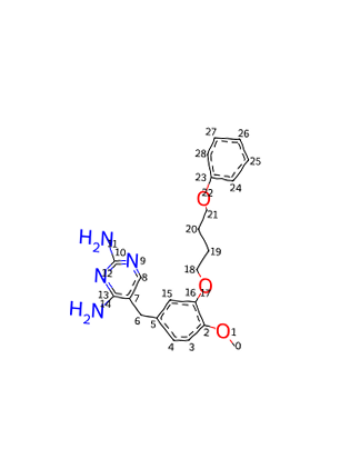 COc1ccc(Cc2cnc(N)nc2N)cc1OCCCCOc1ccccc1